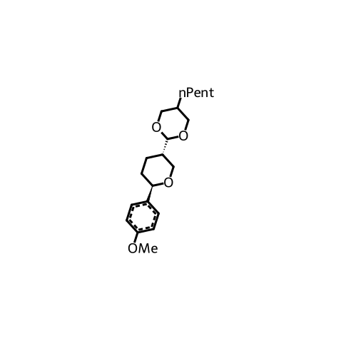 CCCCCC1COC([C@H]2CC[C@H](c3ccc(OC)cc3)OC2)OC1